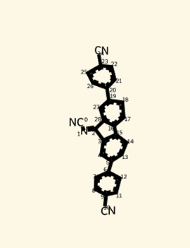 N#CN=C1c2cc(-c3ccc(C#N)cc3)ccc2-c2ccc(-c3ccc(C#N)cc3)cc21